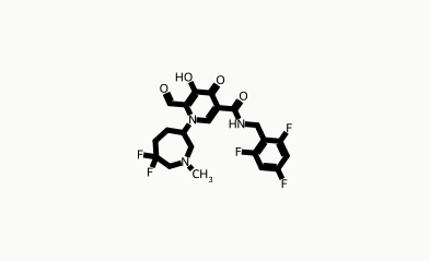 CN1CC(n2cc(C(=O)NCc3c(F)cc(F)cc3F)c(=O)c(O)c2C=O)CCC(F)(F)C1